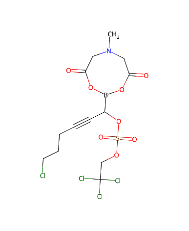 CN1CC(=O)OB(C(C#CCCCCl)OS(=O)(=O)OCC(Cl)(Cl)Cl)OC(=O)C1